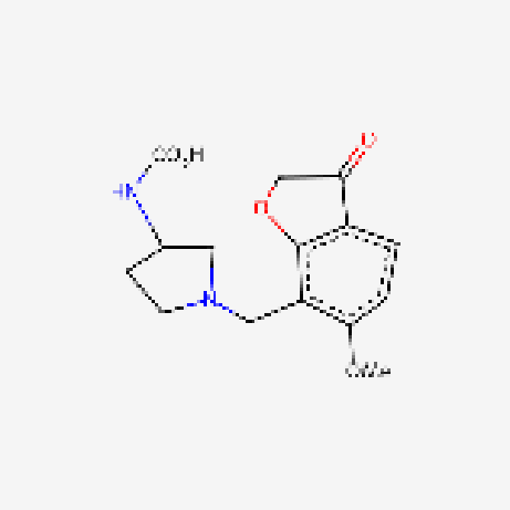 COc1ccc2c(c1CN1CCC(NC(=O)O)C1)OCC2=O